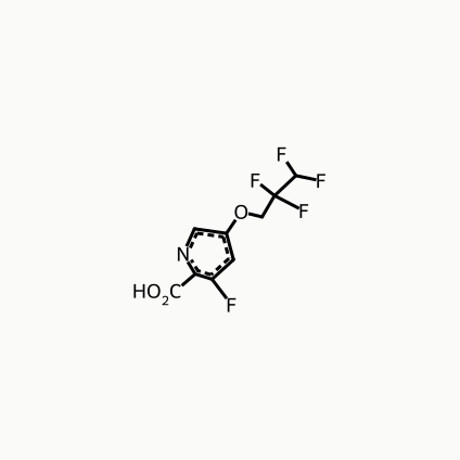 O=C(O)c1ncc(OCC(F)(F)C(F)F)cc1F